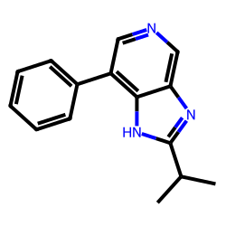 CC(C)c1nc2cncc(-c3ccccc3)c2[nH]1